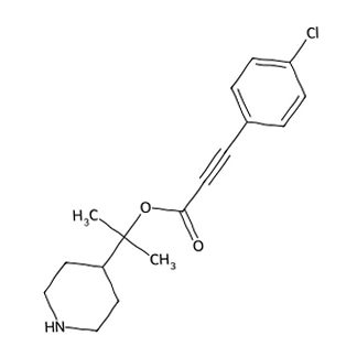 CC(C)(OC(=O)C#Cc1ccc(Cl)cc1)C1CCNCC1